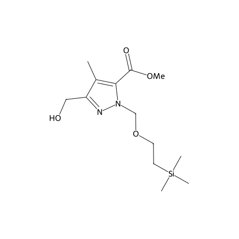 COC(=O)c1c(C)c(CO)nn1COCC[Si](C)(C)C